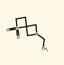 CCN1CC2(CCS2(=O)=O)C1